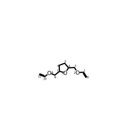 C=COCC1CCC(COC=C)O1